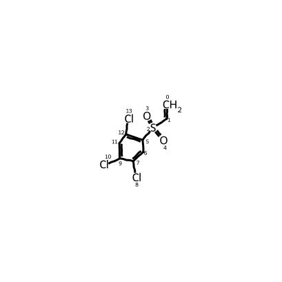 C=CS(=O)(=O)c1cc(Cl)c(Cl)cc1Cl